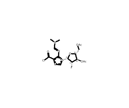 CC(=O)OC[C@H]1O[C@@H](n2cnc(C(=O)Cl)c2/N=C/N(C)C)[C@@H](F)[C@@H]1OC(C)=O